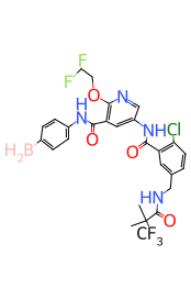 Bc1ccc(NC(=O)c2cc(NC(=O)c3cc(CNC(=O)C(C)(C)C(F)(F)F)ccc3Cl)cnc2OCC(F)F)cc1